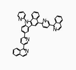 c1ccc(-n2c3ccc(-c4ccc(-c5nccc6ccccc56)cn4)cc3c3cc(-c4ccc(-c5nccc6ccccc56)cn4)c4ccccc4c32)nc1